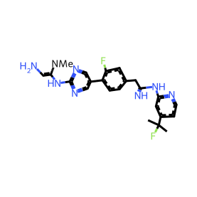 CN/C(=C\N)Nc1ncc(-c2ccc(CC(=N)Nc3cc(C(C)(C)F)ccn3)cc2F)cn1